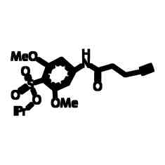 C#CCCC(=O)Nc1cc(OC)c(S(=O)(=O)OC(C)C)c(OC)c1